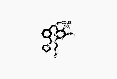 CCOC(=O)CN(Cc1cccc(CN2CCCC2)c1)c1nc(OCCP=O)nc(N)c1[N+](=O)[O-]